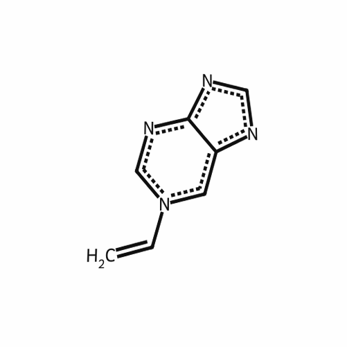 C=Cn1cnc2ncnc-2c1